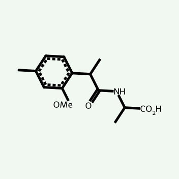 COc1cc(C)ccc1C(C)C(=O)NC(C)C(=O)O